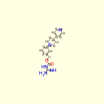 N=C(N)NC(=O)OCc1cccc(N2CCC(c3ccncc3)CC2)c1